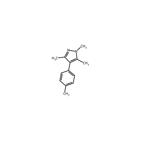 Cc1ccc(-c2c(C)nn(C)c2C)cc1